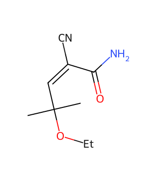 CCOC(C)(C)C=C(C#N)C(N)=O